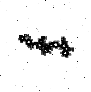 Cc1ncsc1-c1ccc(C(C)NC(=O)[C@@H]2C[C@H](O)CN2C(=O)[C@@H](NC(=O)CN2CCN(c3cc(-c4ccccc4O)nnc3N)CC2)C(C)(C)C)cc1